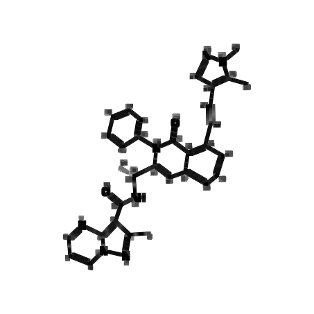 Cc1nn2cccnc2c1C(=O)N[C@H](C)c1cc2cccc(C#Cc3cnn(C)c3C)c2c(=O)n1-c1ccccc1